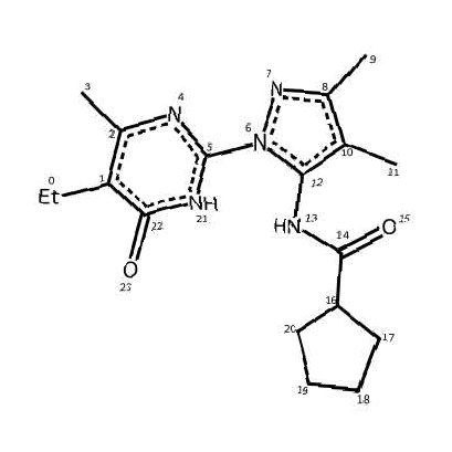 CCc1c(C)nc(-n2nc(C)c(C)c2NC(=O)C2CCCC2)[nH]c1=O